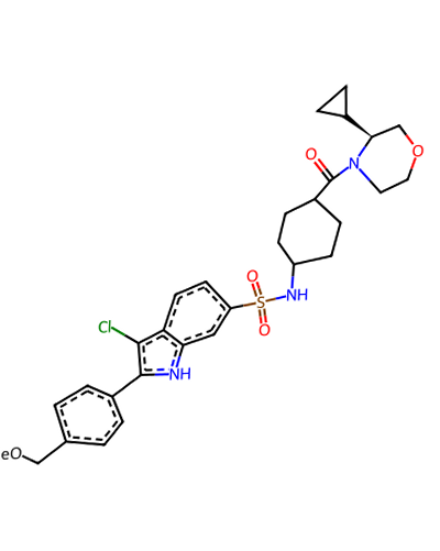 COCc1ccc(-c2[nH]c3cc(S(=O)(=O)NC4CCC(C(=O)N5CCOC[C@@H]5C5CC5)CC4)ccc3c2Cl)cc1